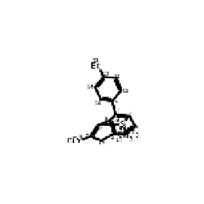 CCCC1=C2c3c(ccc(c3-c3ccc(CC)cc3)[Si]2(C)C)[CH]1